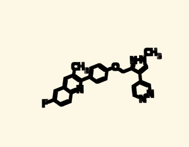 Cc1cc2cc(F)ccc2nc1-c1ccc(OCc2nn(C)cc2-c2ccnnc2)cc1